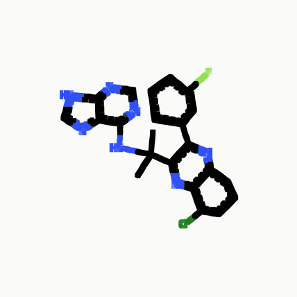 CC(C)(Nc1ncnc2[nH]cnc12)c1nc2c(Cl)cccc2nc1-c1cccc(F)c1